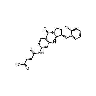 O=C(O)C=CC(=O)Nc1ccc2c(=O)n3c(nc2c1)C(=Cc1ccccc1Cl)CC3